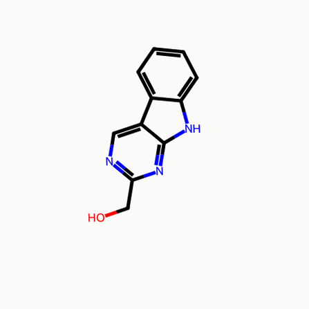 OCc1ncc2c(n1)[nH]c1ccccc12